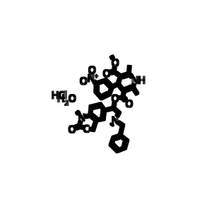 COC(=O)C1=C(C)NC(C)=C(C(=O)OC(CN(C)Cc2ccccc2)c2ccc3c(c2)CCC(=O)N3C)C1c1cccc([N+](=O)[O-])c1.Cl.O